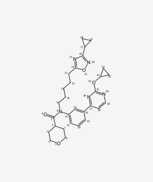 O=C(C1CCOCC1)N(CCCCCc1nc(C2CC2)no1)c1cccc(-c2ccnc(OC3CC3)n2)c1